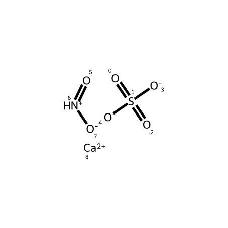 O=S(=O)([O-])[O-].O=[NH+][O-].[Ca+2]